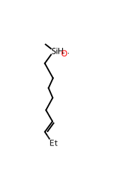 CCC=CCCCCC[SiH](C)[O]